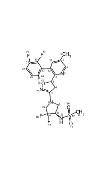 Cc1cnc(C2CC(N3C[C@@H](NS(C)(=O)=O)C(F)(F)C3)=NO2)c(-c2c(F)ccc(F)c2F)c1